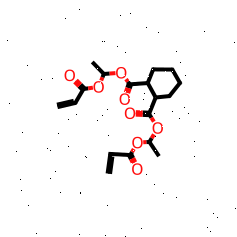 C=CC(=O)OC(C)OC(=O)C1CCCCC1C(=O)OC(C)OC(=O)C=C